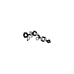 COc1ccccc1-c1nc2c(s1)CN(CC(=O)N1CCN(C3CCC3)CC1)CC2